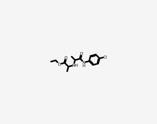 CCOC(=O)C(C)NC(C)C(=O)Nc1ccc(Cl)cc1